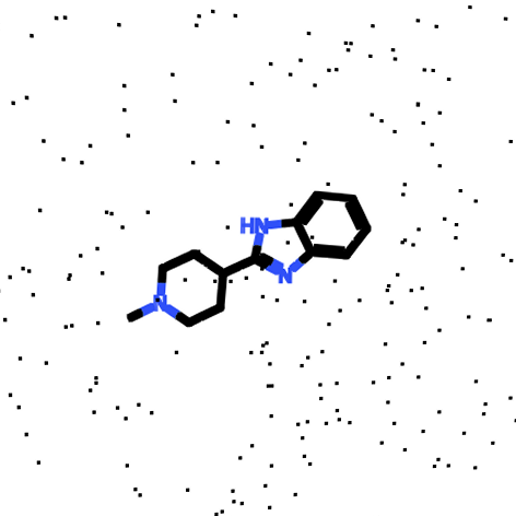 CN1CCC(c2nc3ccccc3[nH]2)CC1